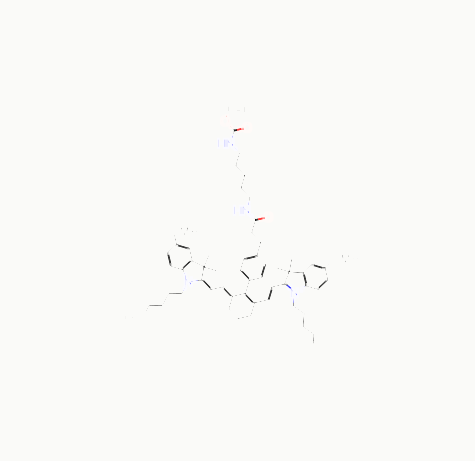 COc1ccc2c(c1)C(C)(C)C(/C=C/C1=C(c3ccc(CCC(=O)NCCCCCNC(=O)OC(C)(C)C)cc3)C(=C/C=C3/N(CCCCS(=O)(=O)O)c4ccc(OC)cc4C3(C)C)/CCC1)=[N+]2CCCCS(=O)(=O)O